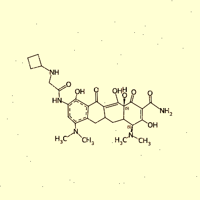 CN(C)c1cc(NC(=O)CNC2CCC2)c(O)c2c1CC1CC3[C@H](N(C)C)C(O)=C(C(N)=O)C(=O)[C@@]3(O)C(O)=C1C2=O